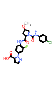 COC1CC(C(=O)Nc2ccc(-n3nccc3C(=O)O)cc2F)N(C(=O)Nc2ccc(Cl)cc2)C1